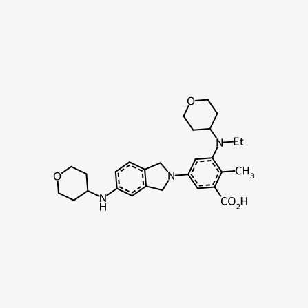 CCN(c1cc(N2Cc3ccc(NC4CCOCC4)cc3C2)cc(C(=O)O)c1C)C1CCOCC1